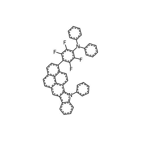 Fc1c(F)c(N(c2ccccc2)c2ccccc2)c(F)c(F)c1-c1ccc2ccc3cc4c5ccccc5n(-c5ccccc5)c4c4ccc1c2c34